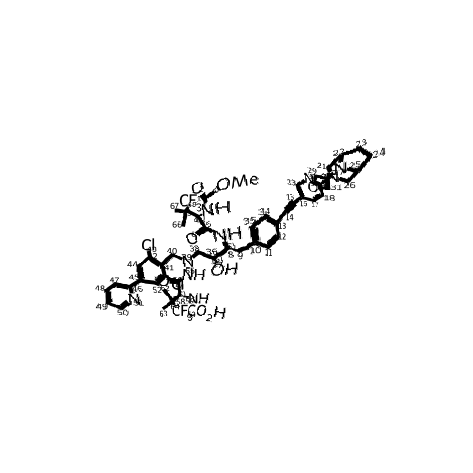 COC(=O)N[C@H](C(=O)N[C@@H](Cc1ccc(C#Cc2ccc(N3CC4CCC(C3)N4C3COC3)nc2)cc1)[C@@H](O)CN(Cc1c(Cl)cc(-c2ccccn2)cc1Cl)NC(=O)[C@@H](NC(=O)O)C(C)(C)C(F)(F)F)C(C)(C)C(F)(F)F